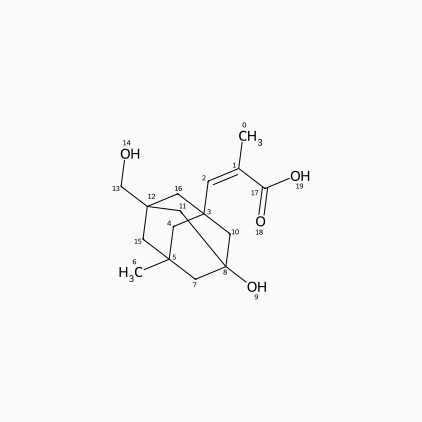 CC(=CC12CC3(C)CC(O)(C1)CC(CO)(C3)C2)C(=O)O